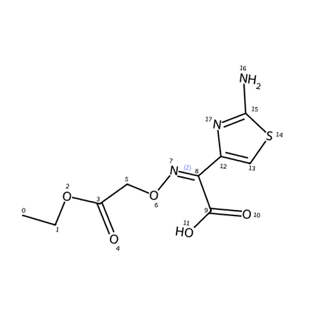 CCOC(=O)CO/N=C(\C(=O)O)c1csc(N)n1